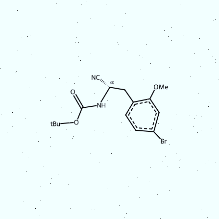 COc1cc(Br)ccc1C[C@@H](C#N)NC(=O)OC(C)(C)C